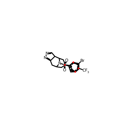 O=S(=O)(c1ccc(C(F)(F)F)cc1)N1C2CC3=NN=CC3C1CC(c1cccc(Br)c1)C2